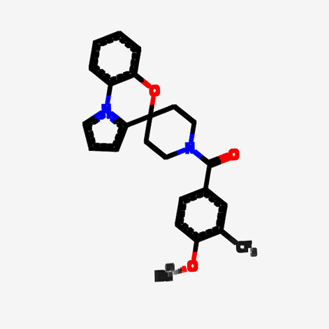 CC[C@@H](C)Oc1ccc(C(=O)N2CCC3(CC2)Oc2ccccc2-n2cccc23)cc1C(F)(F)F